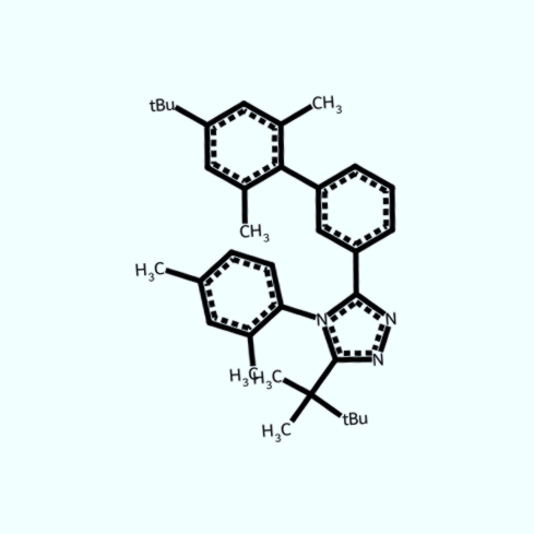 Cc1ccc(-n2c(-c3cccc(-c4c(C)cc(C(C)(C)C)cc4C)c3)nnc2C(C)(C)C(C)(C)C)c(C)c1